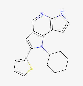 c1csc(-c2cc3cnc4[nH]ccc4c3n2C2CCCCC2)c1